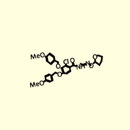 COc1ccc(COc2ccc(C(=O)NC/C=N/OC3CCCCO3)c(Cl)c2OCc2ccc(OC)cc2)cc1